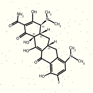 CN(C)c1cc(I)c(O)c2c1C[C@H]1C[C@H]3[C@H](N(C)C)C(O)=C(C(N)=O)C(=O)[C@@]3(O)C(O)=C1C2=O